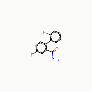 NC(=O)c1cc(F)ccc1-c1ccccc1F